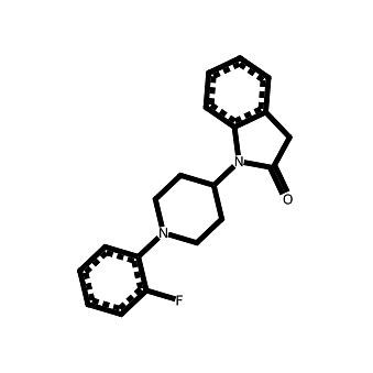 O=C1Cc2ccccc2N1C1CCN(c2ccccc2F)CC1